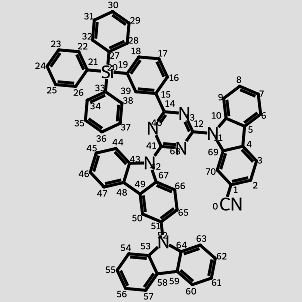 N#Cc1ccc2c3ccccc3n(-c3nc(-c4cccc([Si](c5ccccc5)(c5ccccc5)c5ccccc5)c4)nc(-n4c5ccccc5c5cc(-n6c7ccccc7c7ccccc76)ccc54)n3)c2c1